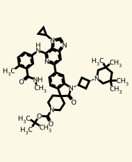 CNC(=O)c1cc(Nc2nc(-c3ccc4c(c3)N([C@H]3C[C@@H](N5CC(C)(C)CC(C)(C)C5)C3)C(=O)C43CCN(C(=O)OC(C)(C)C)CC3)cc3ncn(C4CC4)c23)ccc1C